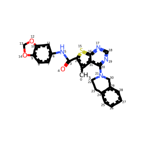 Cc1c(C(=O)Nc2ccc3c(c2)OCO3)sc2ncnc(N3CCc4ccccc4C3)c12